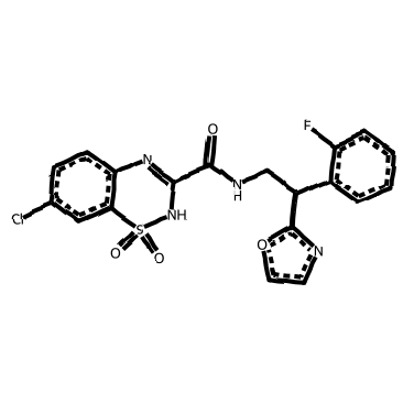 O=C(NCC(c1ncco1)c1ccccc1F)C1=Nc2ccc(Cl)cc2S(=O)(=O)N1